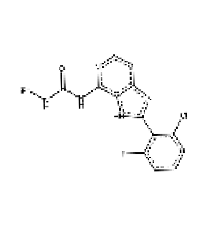 CC(C)NC(=O)Nc1nccc2nc(-c3c(F)cccc3Cl)[nH]c12